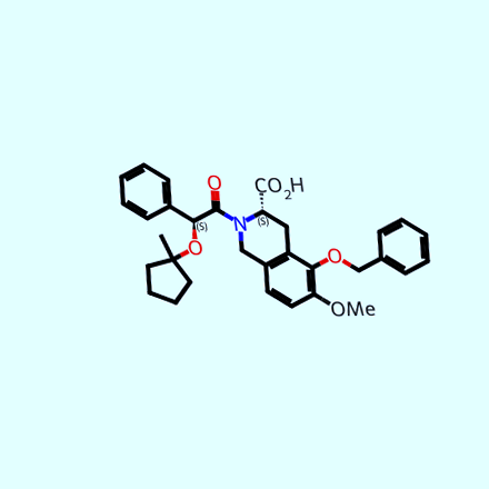 COc1ccc2c(c1OCc1ccccc1)C[C@@H](C(=O)O)N(C(=O)[C@@H](OC1(C)CCCC1)c1ccccc1)C2